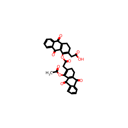 CC(=O)OC1=C(CC(=O)OC2=C(CC(=O)O)CCC3=C2C(=O)c2ccccc2C3=O)CCC2=C1C(=O)c1ccccc1C2=O